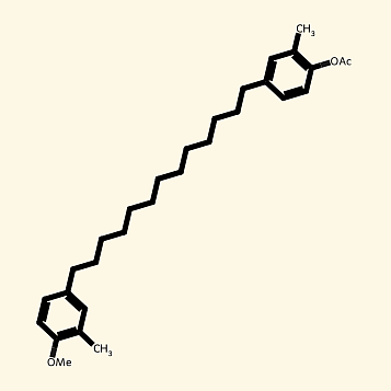 COc1ccc(CCCCCCCCCCCCCc2ccc(OC(C)=O)c(C)c2)cc1C